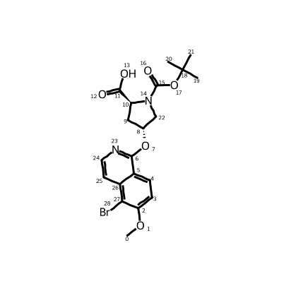 COc1ccc2c(O[C@@H]3C[C@@H](C(=O)O)N(C(=O)OC(C)(C)C)C3)nccc2c1Br